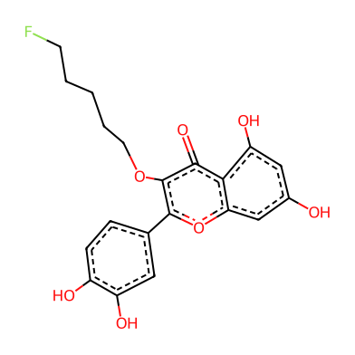 O=c1c(OCCCCCF)c(-c2ccc(O)c(O)c2)oc2cc(O)cc(O)c12